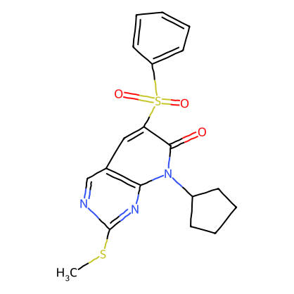 CSc1ncc2cc(S(=O)(=O)c3ccccc3)c(=O)n(C3CCCC3)c2n1